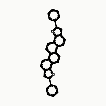 c1ccc(-c2cc3ccc4c5ccc6c(ccc7cc(-c8ccccc8)oc76)c5ccc4c3o2)cc1